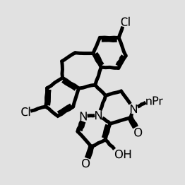 CCCN1CC(C2c3ccc(Cl)cc3CCc3cc(Cl)ccc32)n2ncc(=O)c(O)c2C1=O